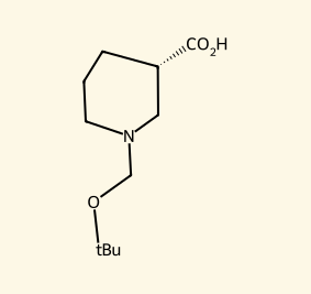 CC(C)(C)OCN1CCC[C@H](C(=O)O)C1